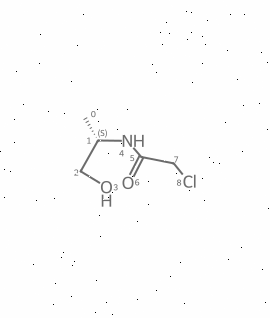 C[C@@H](CO)NC(=O)CCl